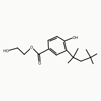 CC(C)(C)CC(C)(C)c1cc(C(=O)OCCO)ccc1O